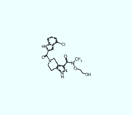 CN(OCCO)C(=O)c1n[nH]c2c1CN(C(=O)c1cc3c(Cl)cccc3[nH]1)CC2